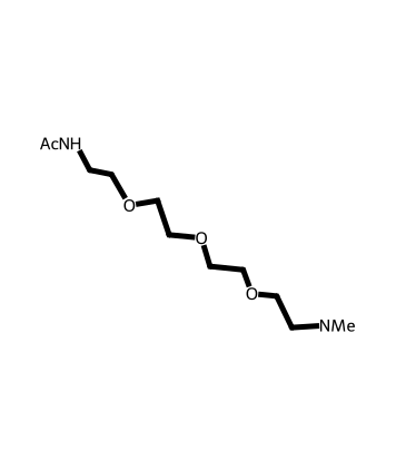 CNCCOCCOCCOCCNC(C)=O